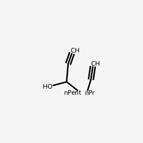 C#CC(O)CCCCC.C#CCCC